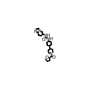 O=C(Nc1ccc(C2=CCN(C(=O)C3CCCO3)CC2)cc1)Nc1ccc2nccn2c1